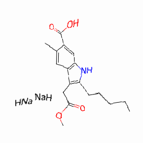 CCCCCc1[nH]c2cc(C(=O)O)c(C)cc2c1CC(=O)OC.[NaH].[NaH]